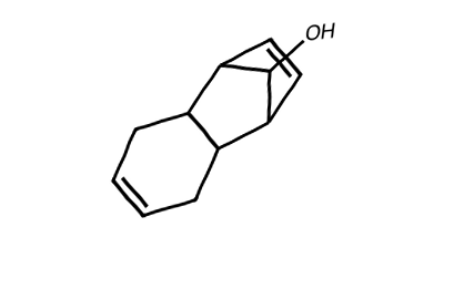 OC1C2C=CC1C1CC=CCC21